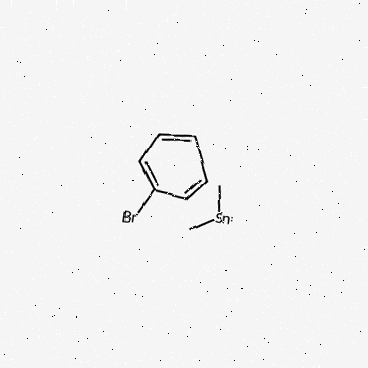 Brc1ccccc1.[CH3][Sn][CH3]